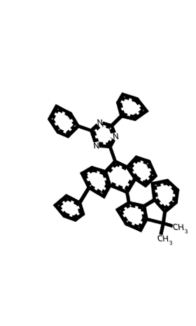 CC1(C)c2ccccc2-c2c(-c3c4ccccc4c(-c4nc(-c5ccccc5)nc(-c5ccccc5)n4)c4ccc(-c5ccccc5)cc34)cccc21